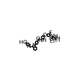 CCC(CC)NC(=O)Nc1ccc(Oc2ccc(NC(=O)c3ccc(-n4cc(CN5CCC(O)CC5)c5ccccc54)cc3)cc2)cc1F